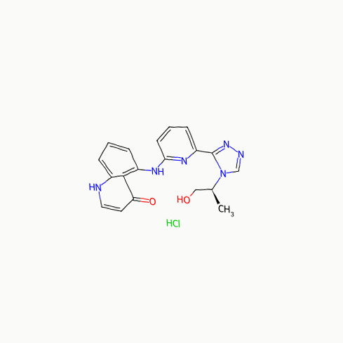 C[C@@H](CO)n1cnnc1-c1cccc(Nc2cccc3[nH]ccc(=O)c23)n1.Cl